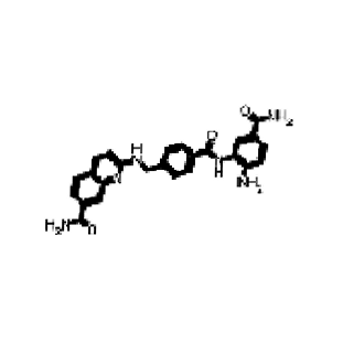 NC(=O)c1ccc(N)c(NC(=O)c2ccc(CNc3ccc4ccc(C(N)=O)cc4n3)cc2)c1